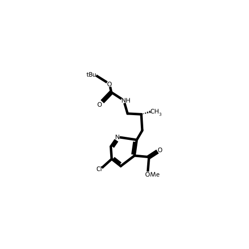 COC(=O)c1cc(Cl)cnc1C[C@@H](C)CNC(=O)OC(C)(C)C